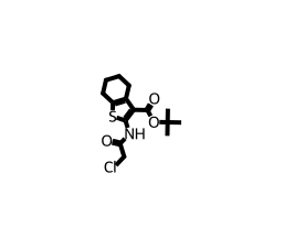 CC(C)(C)OC(=O)c1c(NC(=O)CCl)sc2c1CCCC2